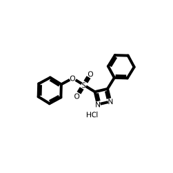 Cl.O=S(=O)(Oc1ccccc1)C1=NN=C1C1=CCCC=C1